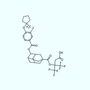 CC1(Oc2ccc(C(=O)OC3C4CC5CC3CC(C(=O)OC(CC(=O)O)(C(F)(F)F)C(F)(F)F)(C5)C4)cc2F)CCCC1